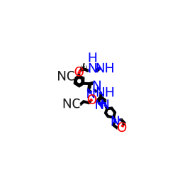 C[C@@H](CNC=N)Oc1cc(-c2cnc(Nc3cn(C4CCC(N5CCOCC5)CC4)nc3OCCCC#N)nc2)ccc1C#N